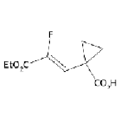 CCOC(=O)C(F)=CC1(C(=O)O)CC1